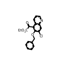 CCOC(=O)C(=O)c1c(OCc2ccccc2)c(Cl)cc2ncccc12